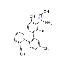 C#Cc1ccccc1-c1ccc(C(F)(F)F)cc1-c1ccc(O)c(/C(N)=N/O)c1F